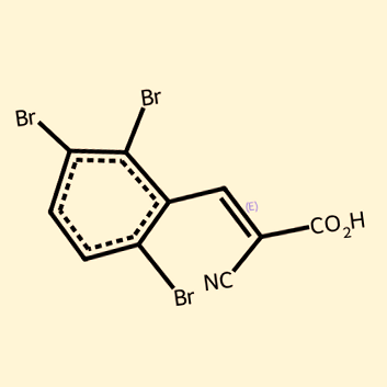 N#C/C(=C\c1c(Br)ccc(Br)c1Br)C(=O)O